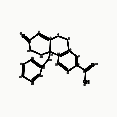 O=C1C=C2CCc3cc(C(=O)O)ccc3C2(Cc2ccccc2)CC1